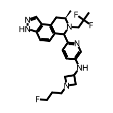 C[C@@H]1Cc2c(ccc3[nH]ncc23)C(c2ccc(NC3CN(CCCF)C3)cn2)N1CC(C)(F)F